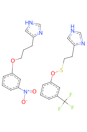 FC(F)(F)c1cccc(OSCCc2c[nH]cn2)c1.O=[N+]([O-])c1cccc(OCCCc2c[nH]cn2)c1